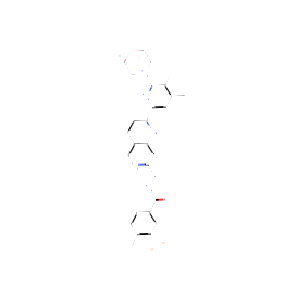 Cc1ccc(C(=O)NCc2cc3nc(-c4cc(C)c(C)c(N5C[C@@H](C)O[C@@H](C)C5)n4)ccc3cn2)cc1S(C)(=O)=O